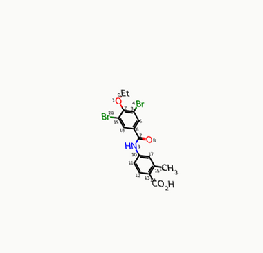 CCOc1c(Br)cc(C(=O)Nc2ccc(C(=O)O)c(C)c2)cc1Br